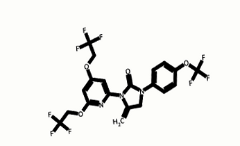 C=C1CN(c2ccc(OC(F)(F)F)cc2)C(=O)N1c1cc(OCC(F)(F)F)cc(OCC(F)(F)F)n1